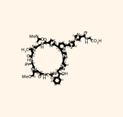 CNC(=O)C[C@@H]1NC(=O)c2csc(n2)-c2ccc(-c3nc(-n4cnc(C(=O)NCC(=O)O)c4)cs3)nc2-c2csc(n2)-c2csc(n2)[C@H]([C@@H](O)c2ccccc2)NC(=O)CNC(=O)c2nc(sc2COC)[C@@H](C(C)C)NC(=O)c2nc1sc2C